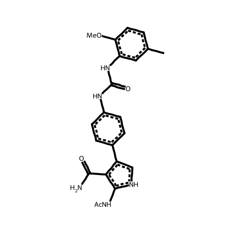 COc1ccc(C)cc1NC(=O)Nc1ccc(-c2c[nH]c(NC(C)=O)c2C(N)=O)cc1